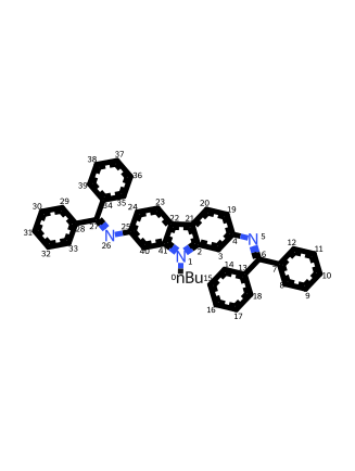 CCCCn1c2cc(N=C(c3ccccc3)c3ccccc3)ccc2c2ccc(N=C(c3ccccc3)c3ccccc3)cc21